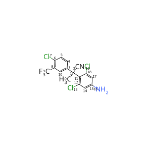 CC(C#N)(c1ccc(Cl)c(C(F)(F)F)c1)c1c(Cl)cc(N)cc1Cl